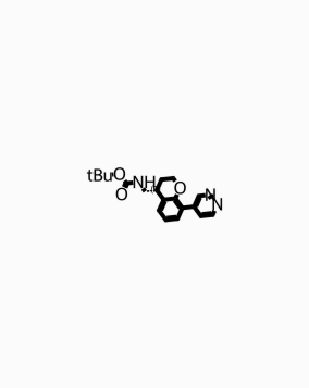 CC(C)(C)OC(=O)NC[C@@H]1CCOc2c(-c3ccnnc3)cccc21